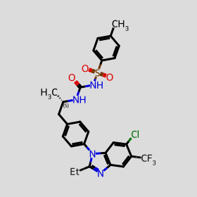 CCc1nc2cc(C(F)(F)F)c(Cl)cc2n1-c1ccc(C[C@H](C)NC(=O)NS(=O)(=O)c2ccc(C)cc2)cc1